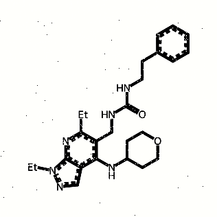 CCc1nc2c(cnn2CC)c(NC2CCOCC2)c1CNC(=O)NCCc1ccccc1